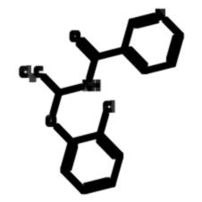 O=C(NC(Oc1ccccc1Cl)C(Cl)(Cl)Cl)c1cccnc1